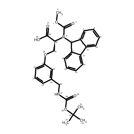 COC(=O)N(C1c2ccccc2-c2ccccc21)[C@@H](COc1cccc(CNC(=O)OC(C)(C)C)c1)C(=O)O